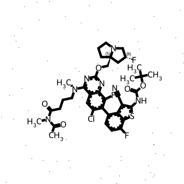 CC(=O)N(C)C(=O)CCCN(C)c1nc(OC[C@@]23CCCN2C[C@H](F)C3)nc2c(F)c(-c3ccc(F)c4sc(NC(=O)OC(C)(C)C)c(C#N)c34)c(Cl)cc12